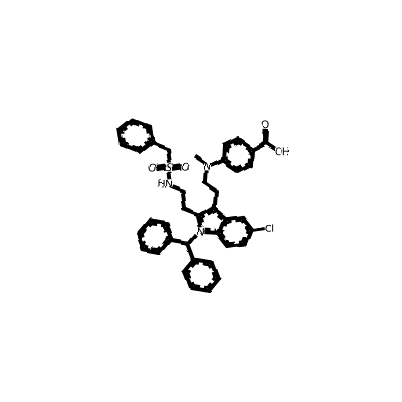 CN(CCc1c(CCNS(=O)(=O)Cc2ccccc2)n(C(c2ccccc2)c2ccccc2)c2ccc(Cl)cc12)c1ccc(C(=O)O)cc1